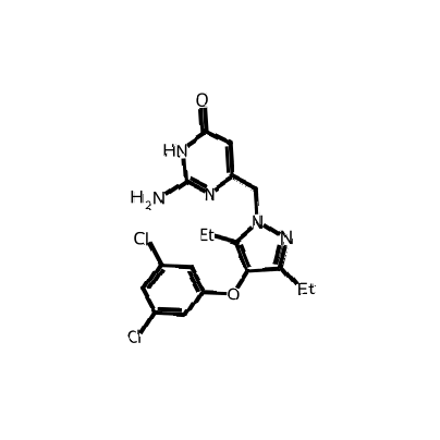 CCc1nn(Cc2cc(=O)[nH]c(N)n2)c(CC)c1Oc1cc(Cl)cc(Cl)c1